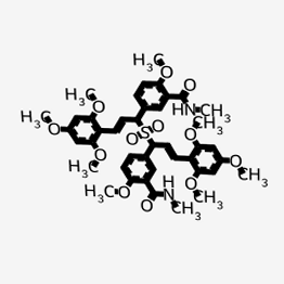 CNC(=O)c1cc(C(C=Cc2c(OC)cc(OC)cc2OC)S(=O)(=O)C(C=Cc2c(OC)cc(OC)cc2OC)c2ccc(OC)c(C(=O)NC)c2)ccc1OC